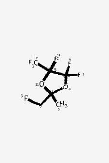 CC1(CF)OC(F)(F)C(F)(C(F)(F)F)O1